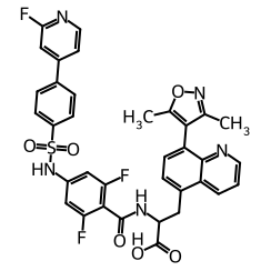 Cc1noc(C)c1-c1ccc(CC(NC(=O)c2c(F)cc(NS(=O)(=O)c3ccc(-c4ccnc(F)c4)cc3)cc2F)C(=O)O)c2cccnc12